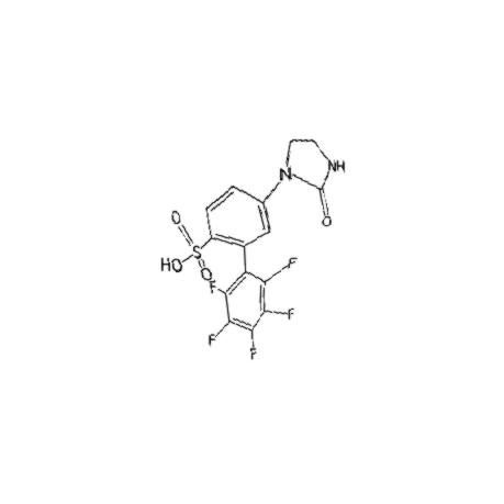 O=C1NCCN1c1ccc(S(=O)(=O)O)c(-c2c(F)c(F)c(F)c(F)c2F)c1